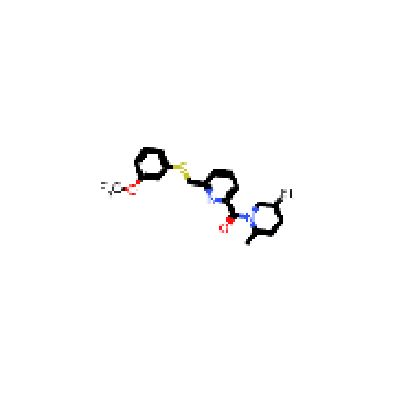 CCC1CCC(C)N(C(=O)c2cccc(CSc3cccc(OC(F)(F)F)c3)n2)C1